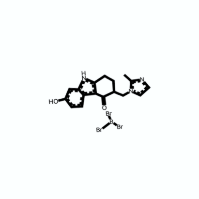 BrB(Br)Br.Cc1nccn1CC1CCc2[nH]c3cc(O)ccc3c2C1=O